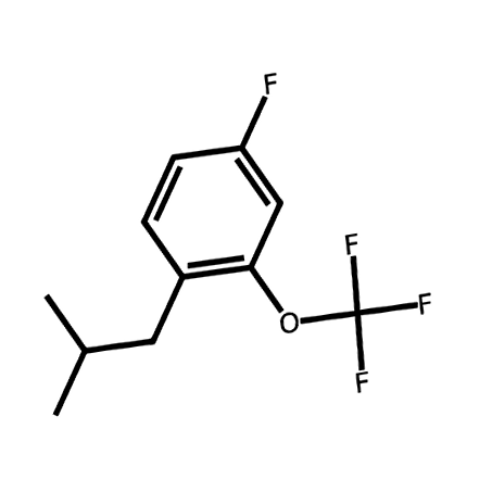 CC(C)Cc1ccc(F)cc1OC(F)(F)F